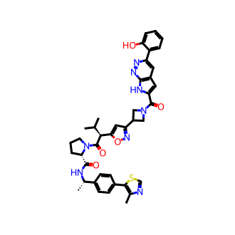 Cc1ncsc1-c1ccc([C@H](C)NC(=O)[C@@H]2CCCN2C(=O)[C@H](c2cc(C3CN(C(=O)c4cc5cc(-c6ccccc6O)nnc5[nH]4)C3)no2)C(C)C)cc1